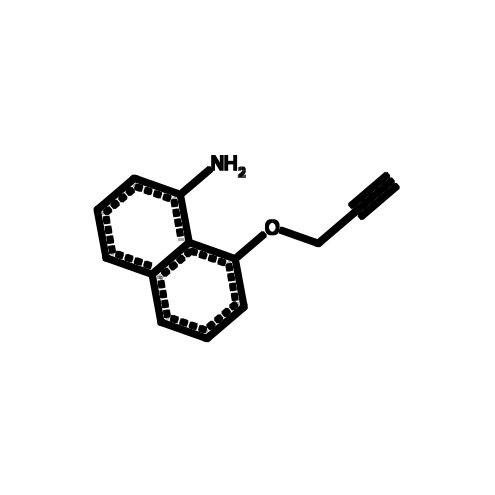 C#CCOc1cccc2cccc(N)c12